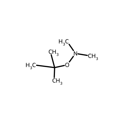 CN(C)OC(C)(C)C